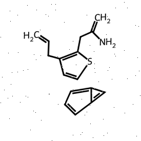 C=CCc1ccsc1CC(=C)N.c1cc2cc-2c1